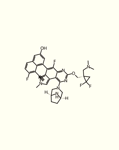 C#Cc1c(F)ccc2cc(O)cc(-c3c(F)c4nc(OC[C@]5(CN(C)C)CC5(F)F)nc(N5C[C@H]6CC[C@@H](C5)N6)c4c4cn(C)nc34)c12